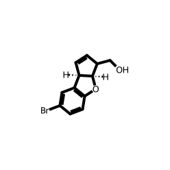 OCC1C=C[C@@H]2c3cc(Br)ccc3O[C@H]12